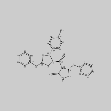 O=C1OC[C@@H](Cc2ccccc2)N1C(=O)[C@H]1CN(Cc2ccccc2)C[C@@H]1c1ccc(F)cc1